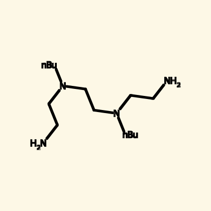 CCCCN(CCN)CCN(CCN)CCCC